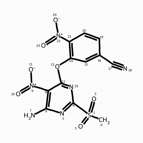 CS(=O)(=O)c1nc(N)c([N+](=O)[O-])c(Oc2cc(C#N)ccc2[N+](=O)[O-])n1